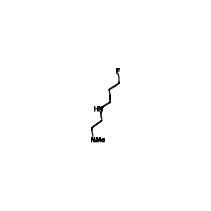 CNCCNCCCF